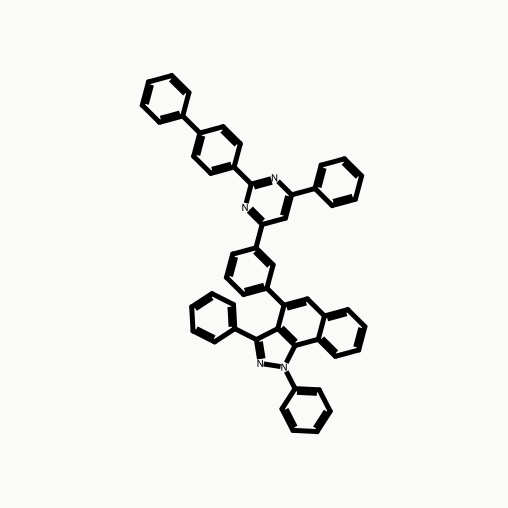 c1ccc(-c2ccc(-c3nc(-c4ccccc4)cc(-c4cccc(-c5cc6ccccc6c6c5c(-c5ccccc5)nn6-c5ccccc5)c4)n3)cc2)cc1